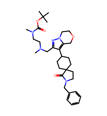 CN(CCN(C)C(=O)OC(C)(C)C)Cc1nn2c(c1C1CCC3(CC1)CCN(Cc1ccccc1)C3=O)COCC2